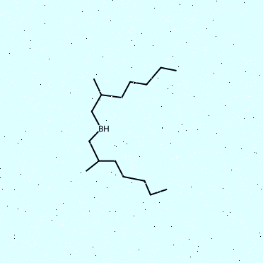 CCCCCC(C)CBCC(C)CCCCC